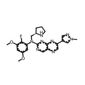 COc1cc(OC)c(F)c(N(C[C@H]2CCCN2)c2ncc3ncc(-c4cnn(C)c4)nc3n2)c1